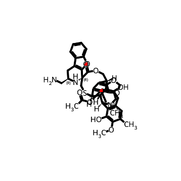 COc1c(C)cc2c(c1O)[C@H]1[C@H]3C([C@H]4COC(=O)[C@]5(CS[C@@H]3c3c(OC(C)=O)c(C)c6c(c34)OCO6)N[C@@H](CN)Cc3c5oc4ccccc34)C(O)(C2)CN1C